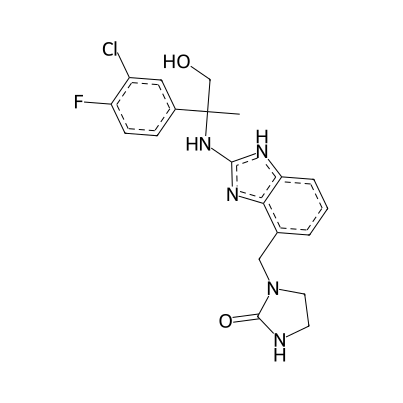 CC(CO)(Nc1nc2c(CN3CCNC3=O)cccc2[nH]1)c1ccc(F)c(Cl)c1